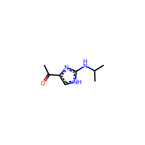 CC(=O)c1c[nH]c(NC(C)C)n1